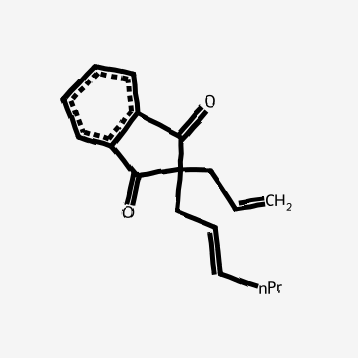 C=CCC1(CC=CCCC)C(=O)c2ccccc2C1=O